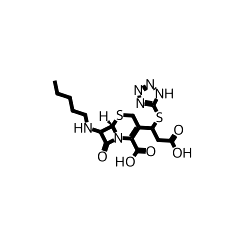 CCCCCNC1C(=O)N2C(C(=O)O)=C(C(CC(=O)O)Sc3nnn[nH]3)CS[C@@H]12